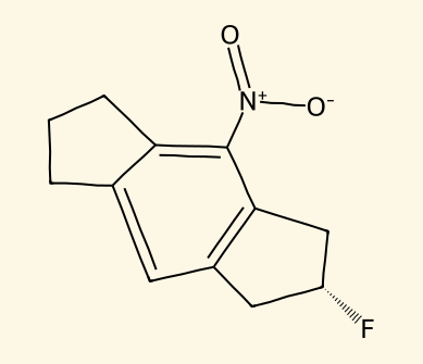 O=[N+]([O-])c1c2c(cc3c1C[C@H](F)C3)CCC2